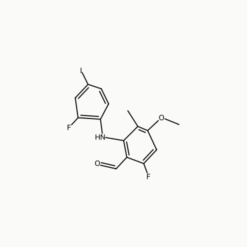 COc1cc(F)c(C=O)c(Nc2ccc(I)cc2F)c1C